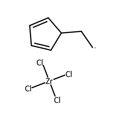 [CH2]CC1C=CC=C1.[Cl][Zr]([Cl])([Cl])[Cl]